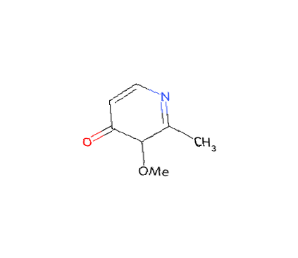 COC1C(=O)C=CN=C1C